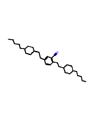 CCCCCC1CCC(CCc2ccc(CCC3CCC(CCCCC)CC3)c(C#N)c2)CC1